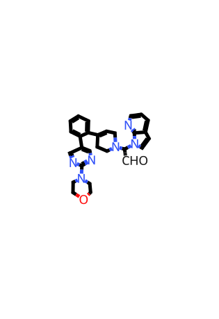 O=CC(N1CC=C(c2ccccc2-c2cnc(N3CCOCC3)nc2)CC1)n1ccc2cccnc21